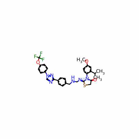 COc1ccc(N2C(=O)CS/C2=N\CNCc2ccc(-c3ncn(-c4ccc(OC(F)(F)F)cc4)n3)cc2)c(C(C)C)c1